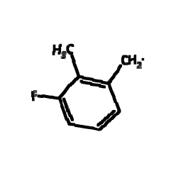 [CH2]c1cccc(F)c1C